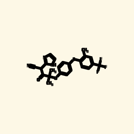 Cc1cc(C(F)(F)F)ccc1Sc1ccc(OC(C)(C)C(=O)C(C#N)c2ncc[nH]2)cc1